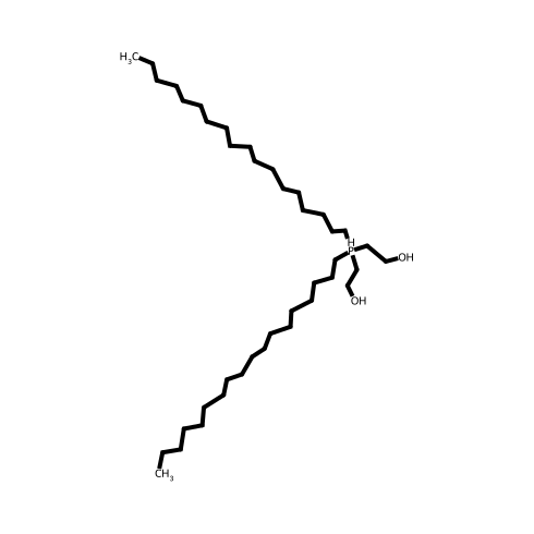 CCCCCCCCCCCCCCCCCC[PH](CCO)(CCO)CCCCCCCCCCCCCCCCCC